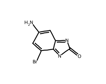 Nc1cc(Br)c2c(c1)=NC(=O)N=2